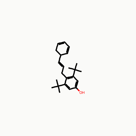 CC(C)(C)c1cc(O)cc(C(C)(C)C)c1CC=CC1C=CC=CC1